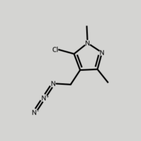 Cc1nn(C)c(Cl)c1CN=[N+]=[N-]